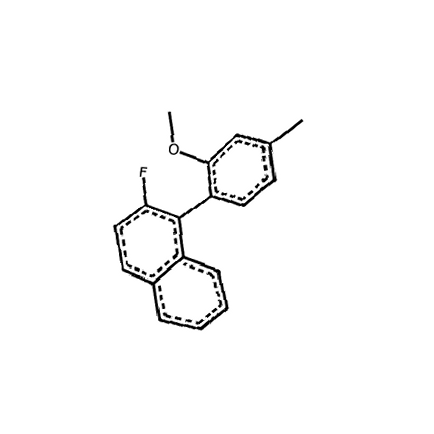 COc1cc(C)ccc1-c1c(F)ccc2ccccc12